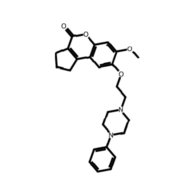 COc1cc2oc(=O)c3c(c2cc1OCCN1CCN(c2ccccc2)CC1)CCC3